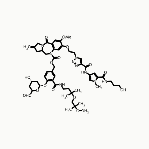 C=C1CC2CN(C(=O)OCc3ccc(O[C@H]4C[C@@H](O)CC(C=O)O4)c(C(=O)NCCC(C)(C)OCC(C)(C)ON)c3)c3cc(OCCn4cc(C(=O)Nc5cc(C(=O)NCCCO)n(C)c5)nn4)c(OC)cc3C(=O)N2C1